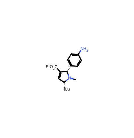 CCOC(=O)C1=C[C@@H](C(C)(C)C)N(C)[C@H]1c1ccc(N)cc1